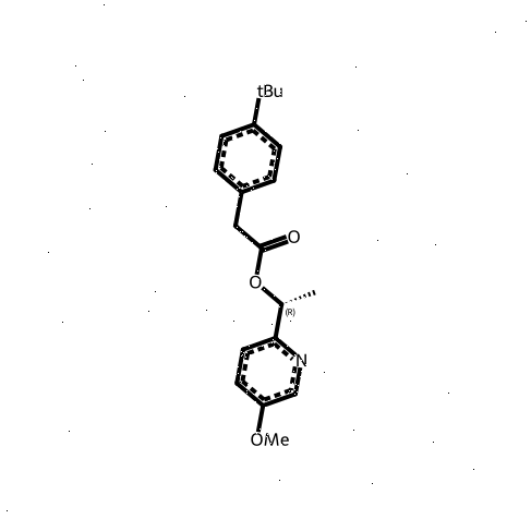 COc1ccc([C@@H](C)OC(=O)Cc2ccc(C(C)(C)C)cc2)nc1